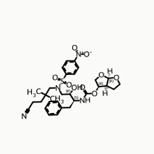 CC(C)(CCC#N)CN(C[C@@H](O)[C@H](Cc1ccccc1)NC(=O)O[C@H]1CO[C@H]2OCC[C@H]21)S(=O)(=O)c1ccc([N+](=O)[O-])cc1